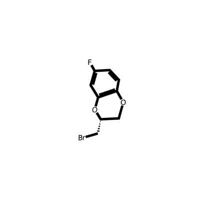 Fc1ccc2c(c1)O[C@@H](CBr)CO2